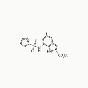 CCOC(=O)c1cc2cc(C)cc(NS(=O)(=O)c3cccs3)c2[nH]1